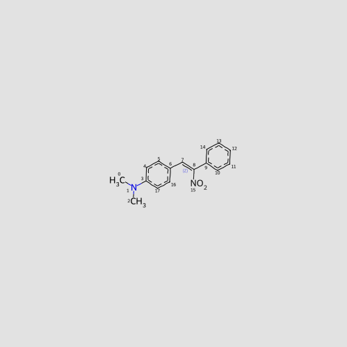 CN(C)c1ccc(/C=C(/c2ccccc2)[N+](=O)[O-])cc1